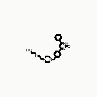 O=c1nc(-c2ccc(CN3CCN(CCOCCO)CC3)cc2)cc(-c2ccccc2)[nH]1